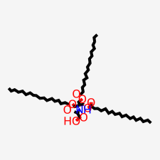 CCCCCCCCCCCCCCCCCC(=O)OCC(COC(=O)CCCCCCCCCCCCCCCCC)(COC(=O)CCCCCCCCCCCCCCCCC)NC(C)C(=O)O